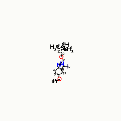 CC(C)Oc1ccc2nn(COCC[Si](C)(C)C)c(I)c2c1